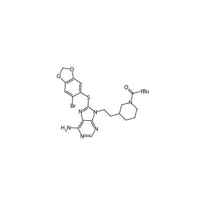 CC(C)(C)C(=O)N1CCCC(CCn2c(Sc3cc4c(cc3Br)OCO4)nc3c(N)ncnc32)C1